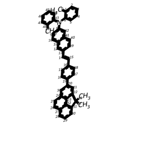 Cc1ccccc1N(c1ccc2cc(/C=C/c3ccc(-c4cc5c6c(ccc7cccc(c76)C5(C)C)c4)cc3)ccc2c1)c1ccccc1C